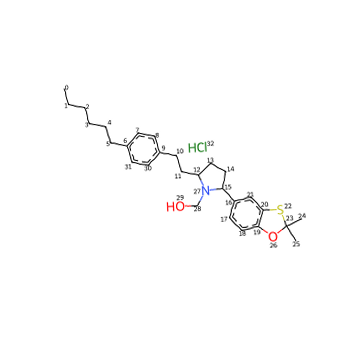 CCCCCCc1ccc(CCC2CCC(c3ccc4c(c3)SC(C)(C)O4)N2CO)cc1.Cl